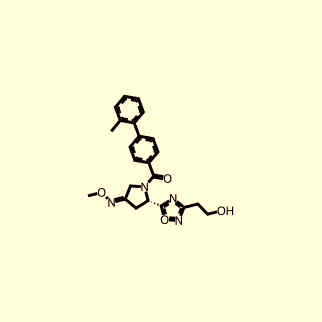 CO/N=C1/C[C@@H](c2nc(CCO)no2)N(C(=O)c2ccc(-c3ccccc3C)cc2)C1